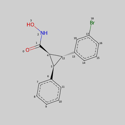 O=C(NO)[C@@H]1[C@H](c2ccccc2)[C@H]1c1cccc(Br)c1